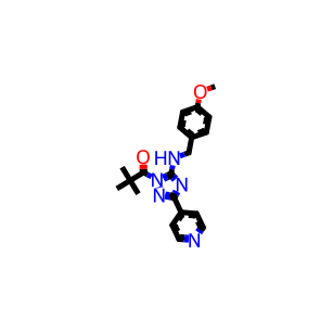 COc1ccc(CNc2nc(-c3ccncc3)nn2C(=O)C(C)(C)C)cc1